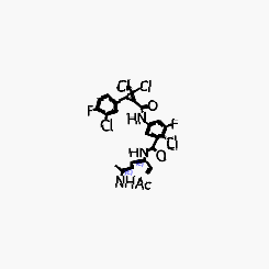 C=C/C(=C\C=C(/C)NC(C)=O)NC(=O)c1cc(NC(=O)C2C(c3ccc(F)c(Cl)c3)C2(Cl)Cl)cc(F)c1Cl